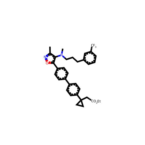 CCOC(=O)CC1(c2ccc(-c3ccc(-c4onc(C)c4N(C)CCCc4cccc(C(F)(F)F)c4)cc3)cc2)CC1